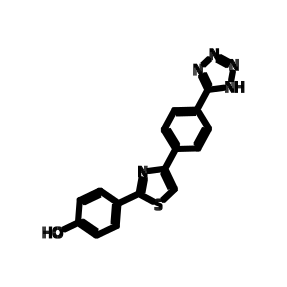 Oc1ccc(-c2nc(-c3ccc(-c4nnn[nH]4)cc3)cs2)cc1